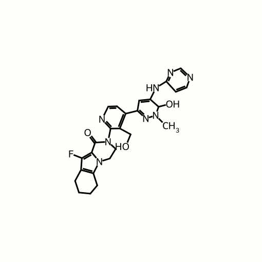 CN1N=C(c2ccnc(N3CCn4c5c(c(F)c4C3=O)CCCC5)c2CO)C=C(Nc2ccncn2)C1O